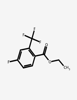 CCOC(=O)c1ccc(F)cc1C(F)(F)F